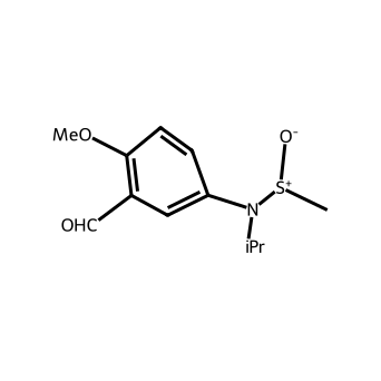 COc1ccc(N(C(C)C)[S+](C)[O-])cc1C=O